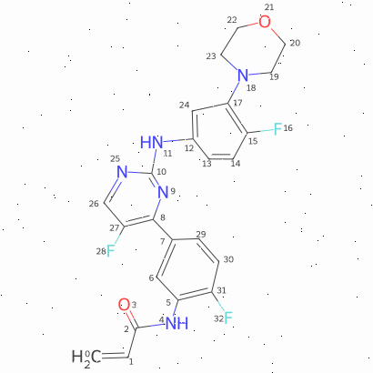 C=CC(=O)Nc1cc(-c2nc(Nc3ccc(F)c(N4CCOCC4)c3)ncc2F)ccc1F